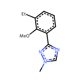 CCc1cccc(-c2ncn(C)n2)c1OC